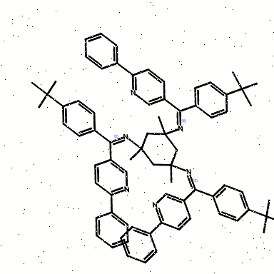 CC1(/N=C(/c2ccc(C(C)(C)C)cc2)c2ccc(-c3ccccc3)nc2)CC(C)(/N=C(/c2ccc(C(C)(C)C)cc2)c2ccc(-c3ccccc3)nc2)CC(C)(/N=C(/c2ccc(C(C)(C)C)cc2)c2ccc(-c3ccccc3)nc2)C1